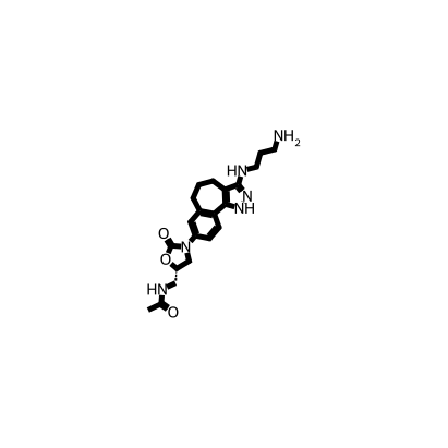 CC(=O)NC[C@H]1CN(c2ccc3c(c2)CCCc2c(NCCCN)n[nH]c2-3)C(=O)O1